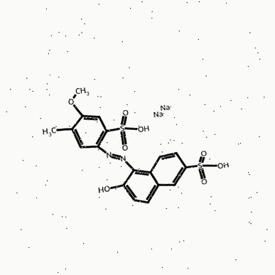 COc1cc(S(=O)(=O)O)c(N=Nc2c(O)ccc3cc(S(=O)(=O)O)ccc23)cc1C.[Na].[Na]